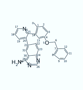 Cc1ccc(OCc2ccccc2)cc1-c1ncccc1-c1ccc2ncnc(N)c2c1